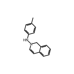 Cc1ccc(NN2C=Cc3ccccc3C2)cc1